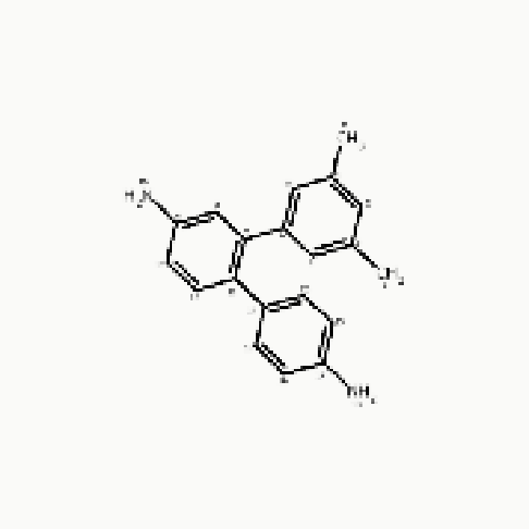 Cc1cc(C)cc(-c2cc(N)ccc2-c2ccc(N)cc2)c1